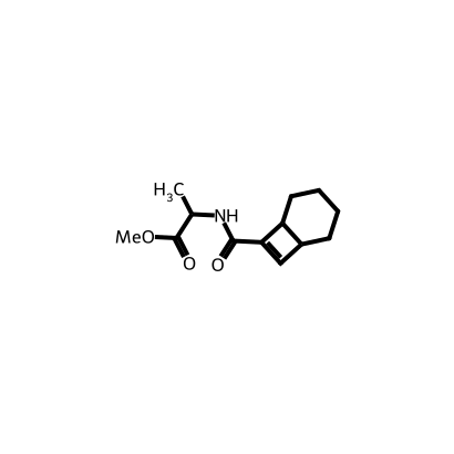 COC(=O)C(C)NC(=O)C1=CC2CCCCC12